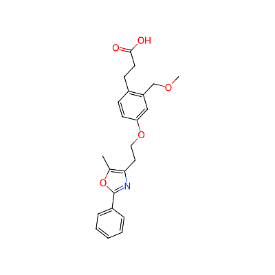 COCc1cc(OCCc2nc(-c3ccccc3)oc2C)ccc1CCC(=O)O